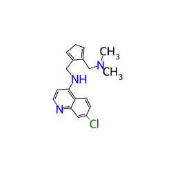 CN(C)CC1=CCC=C1CNc1ccnc2cc(Cl)ccc12